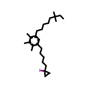 CCC(C)(C)CCCCCc1cc(CCCCCC2(I)CC2)c(C)c(C)c1C